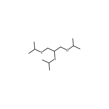 CC(C)OCC(CSC(C)C)SC(C)C